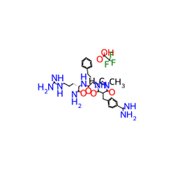 CN(C)C(=O)C(Cc1ccc(C(=N)N)cc1)C(=O)N[C@@H](CCc1ccccc1)C(=O)N[C@@H](CCCNC(=N)N)C(N)=O.O=C(O)C(F)(F)F